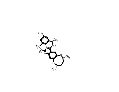 Cc1nc(N[C@H](C)c2cc(N)cc(C(F)(F)F)c2)c2cc3c(cc2n1)O[C@@H](C)CC[C@H](C)O3